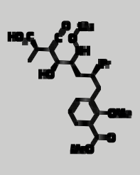 COC(=O)c1cccc(C[C@@H](C[C@H](NOC(C)(C)C)[C@@H](O)C(=C=O)[C@@H](C)C(=O)O)C(C)C)c1OC